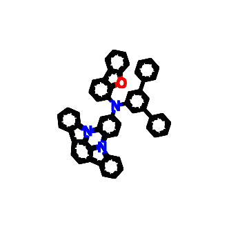 c1ccc(-c2cc(-c3ccccc3)cc(N(c3ccc4c(c3)n3c5ccccc5c5ccc6c7ccccc7n4c6c53)c3cccc4c3oc3ccccc34)c2)cc1